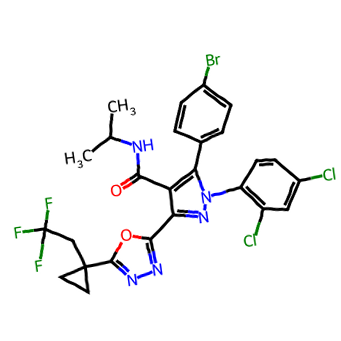 CC(C)NC(=O)c1c(-c2nnc(C3(CC(F)(F)F)CC3)o2)nn(-c2ccc(Cl)cc2Cl)c1-c1ccc(Br)cc1